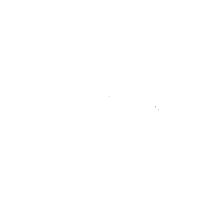 Cc1c(-c2cccnc2)nc2ccccc2c1F